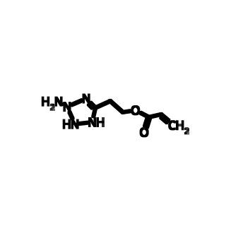 C=CC(=O)OCCC1=NN(N)NN1